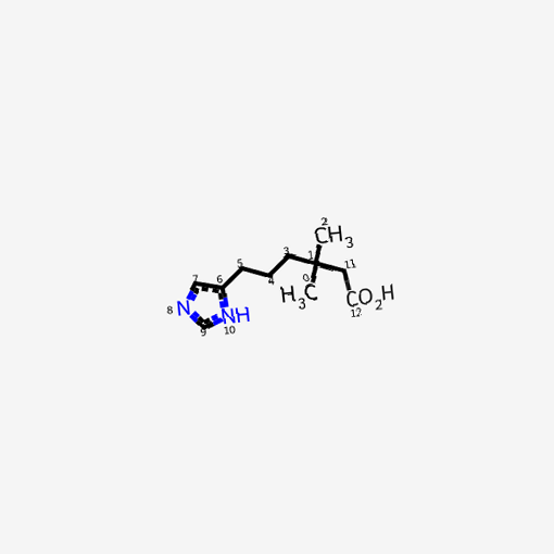 CC(C)(CCCc1cnc[nH]1)CC(=O)O